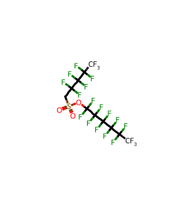 O=S(=O)(CC(F)(F)C(F)(F)C(F)(F)C(F)(F)F)OC(F)(F)C(F)(F)C(F)(F)C(F)(F)C(F)(F)C(F)(F)F